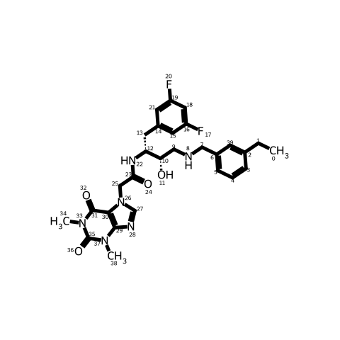 CCc1cccc(CNC[C@H](O)[C@@H](Cc2cc(F)cc(F)c2)NC(=O)Cn2cnc3c2c(=O)n(C)c(=O)n3C)c1